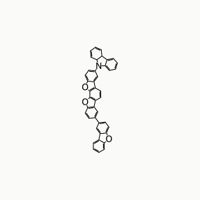 C1=CC2c3ccccc3N(c3ccc4oc5c(ccc6c7cc(-c8ccc9oc%10ccccc%10c9c8)ccc7oc65)c4c3)C2C=C1